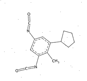 Cc1c(N=C=O)cc(N=C=O)cc1C1CCCC1